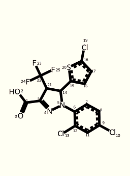 O=C(O)C1=NN(c2ccc(Cl)cc2Cl)C(c2ccc(Cl)s2)C1C(F)(F)F